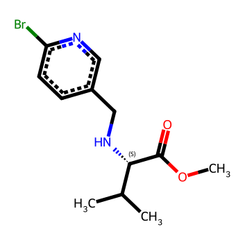 COC(=O)[C@@H](NCc1ccc(Br)nc1)C(C)C